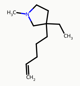 C=CCCCC1(CC)CCN(C)C1